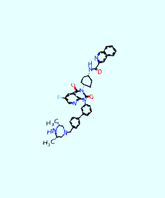 C[C@@H]1CN(Cc2ccc(-c3cccc(-n4c(=O)n([C@H]5CC[C@@H](NC(=O)c6cc7ccccc7cn6)CC5)c(=O)c5cc(F)cnc54)c3)cc2)C[C@H](C)N1